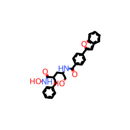 O=C(NC(CO)CC(Cc1ccccc1)C(=O)NO)c1ccc(-c2cc3ccccc3o2)cc1